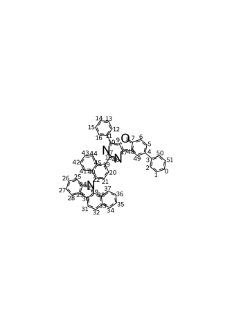 c1ccc(-c2ccc3oc4c(-c5ccccc5)nc(-c5ccc(-n6c7ccccc7c7ccc8ccccc8c76)c6ccccc56)nc4c3c2)cc1